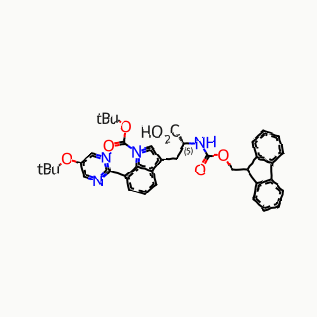 CC(C)(C)OC(=O)n1cc(C[C@H](NC(=O)OCC2c3ccccc3-c3ccccc32)C(=O)O)c2cccc(-c3ncc(OC(C)(C)C)cn3)c21